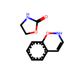 C1=Cc2ccccc2ON1.O=C1NCCO1